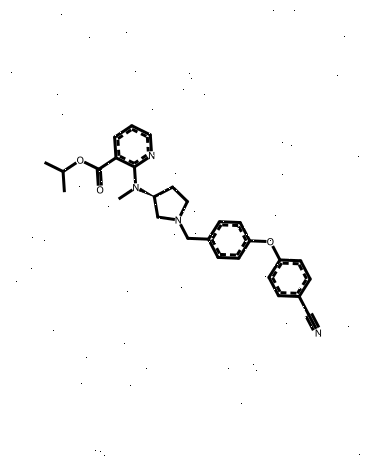 CC(C)OC(=O)c1cccnc1N(C)[C@H]1CCN(Cc2ccc(Oc3ccc(C#N)cc3)cc2)C1